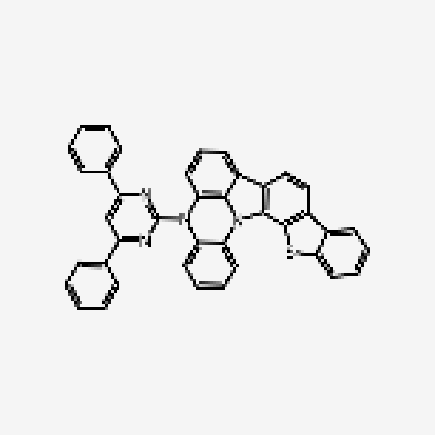 c1ccc(-c2cc(-c3ccccc3)nc(N3c4ccccc4-n4c5c3cccc5c3ccc5c6ccccc6sc5c34)n2)cc1